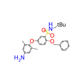 Cc1cc(N)cc(C)c1Oc1ccc(OCc2ccccc2)c(S(=O)(=O)NCC(C)(C)C)c1